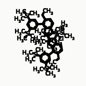 CCc1ccc2c(c1-c1cc([Si](C)(C)C)cc([Si](C)(C)C)c1)C=C(C(C)(C)C)[CH]2[Zr]([Cl])([Cl])([CH]1C(C(C)(C)C)=Cc2c1ccc(CC)c2-c1cc([Si](C)(C)C)cc([Si](C)(C)C)c1)[SiH](C)C